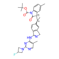 Cc1ccc2c(c1)[C@]1(C[C@H]1c1ccc3c(c1)CN=C3Nc1nc(N3CC(F)C3)ncc1C)C(=O)N2C(=O)OC(C)(C)C